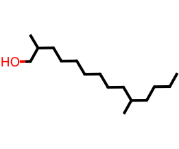 CCCCC(C)CCCCCCCC(C)CO